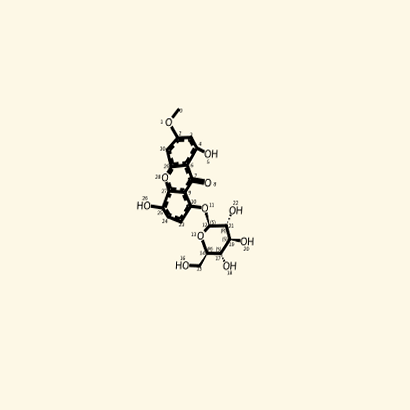 COc1cc(O)c2c(=O)c3c(O[C@@H]4O[C@H](CO)[C@@H](O)[C@H](O)[C@H]4O)ccc(O)c3oc2c1